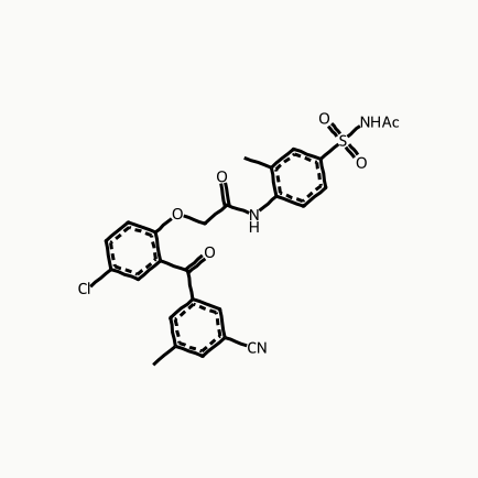 CC(=O)NS(=O)(=O)c1ccc(NC(=O)COc2ccc(Cl)cc2C(=O)c2cc(C)cc(C#N)c2)c(C)c1